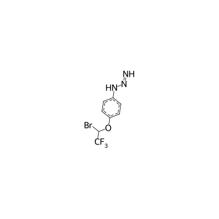 N=NNc1ccc(OC(Br)C(F)(F)F)cc1